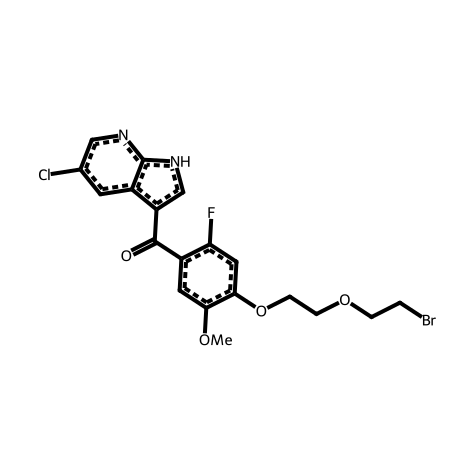 COc1cc(C(=O)c2c[nH]c3ncc(Cl)cc23)c(F)cc1OCCOCCBr